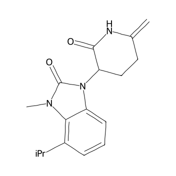 C=C1CCC(n2c(=O)n(C)c3c(C(C)C)cccc32)C(=O)N1